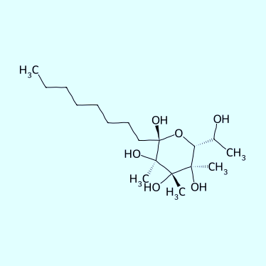 CCCCCCCC[C@]1(O)O[C@H](C(C)O)[C@@](C)(O)[C@](C)(O)[C@@]1(C)O